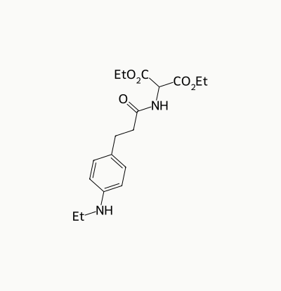 CCNc1ccc(CCC(=O)NC(C(=O)OCC)C(=O)OCC)cc1